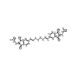 O=C1c2ccc(/C=C/CCCC/C=C/c3ccc4c(c3)C(=O)N(CC3CO3)C4=O)cc2C(=O)N1CC1CO1